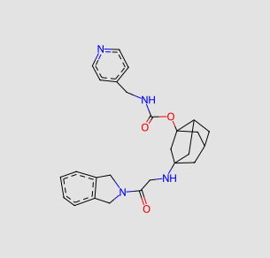 O=C(NCc1ccncc1)OC12CC3CC1CC(NCC(=O)N1Cc4ccccc4C1)(C3)C2